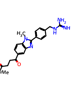 COC(=O)CCC(=O)c1ccc2c(c1)nc(-c1ccc(CNC(=N)N)cc1)n2C